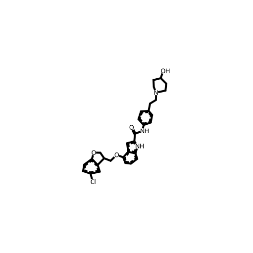 O=C(Nc1ccc(CCN2CCC(O)CC2)cc1)c1cc2c(OCC3COc4ccc(Cl)cc43)cccc2[nH]1